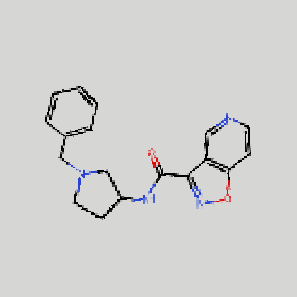 O=C(NC1CCN(Cc2ccccc2)C1)c1noc2ccncc12